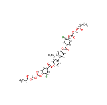 C=CC(=O)OCOC(=O)Oc1ccc(C(=O)Oc2ccc3c(c2)C(C)c2cc(OC(=O)c4ccc(OC(=O)OCOC(=O)C=C)c(F)c4)ccc2-3)cc1F